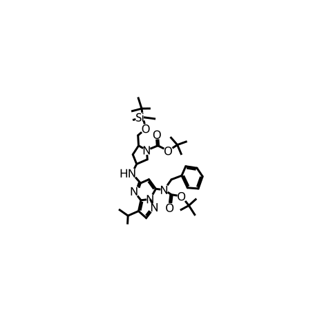 CC(C)c1cnn2c(N(Cc3ccccc3)C(=O)OC(C)(C)C)cc(NC3CC(CO[Si](C)(C)C(C)(C)C)N(C(=O)OC(C)(C)C)C3)nc12